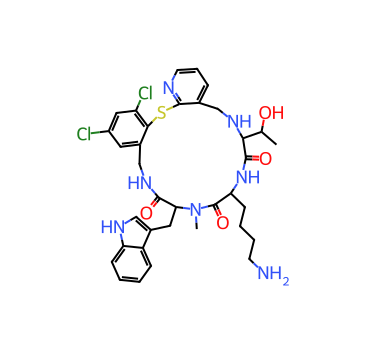 CC(O)C1NCc2cccnc2Sc2c(Cl)cc(Cl)cc2CNC(=O)C(Cc2c[nH]c3ccccc23)N(C)C(=O)C(CCCCN)NC1=O